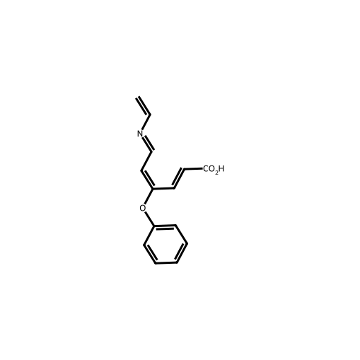 C=C/N=C/C=C(\C=C\C(=O)O)Oc1ccccc1